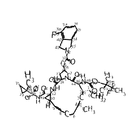 CC[C@@H]1C[C@H](C)CCC=C[C@@H]2C[C@@]2(C(=O)NS(=O)(=O)C2(C)CC2)NC(=O)[C@@H]2C[C@@H](OC(=O)N3Cc4cccc(F)c4C3)CN2C(=O)[C@H]1NC(=O)OC(C)(C)C(C)(F)F